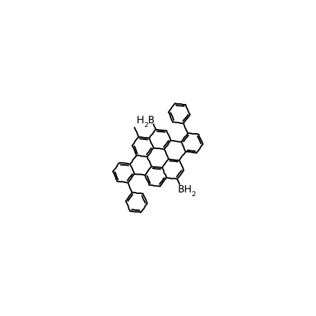 Bc1cc2c3cccc(-c4ccccc4)c3c3cc(B)c4c(C)cc5c6cccc(-c7ccccc7)c6c6ccc1c1c6c5c4c3c21